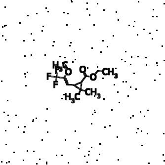 CCOC(=O)C1C(C=C(OC)C(F)(F)F)C1(C)C